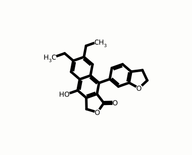 CCc1cc2c(O)c3c(c(-c4ccc5c(c4)OCC5)c2cc1CC)C(=O)OC3